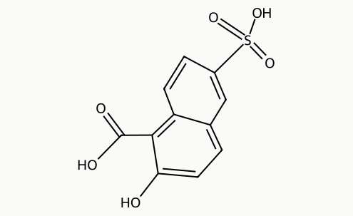 O=C(O)c1c(O)ccc2cc(S(=O)(=O)O)ccc12